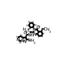 CCc1cccc2nc([C@H](C)NC(=O)c3c(N)nn4cnccc34)n(-c3ccccc3)c(=O)c12